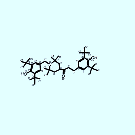 CC(C)(C)c1cc(CCC(=O)C2CC(C)(C)N(Cc3cc(C(C)(C)C)c(O)c(C(C)(C)C)c3)C(C)(C)C2)cc(C(C)(C)C)c1O